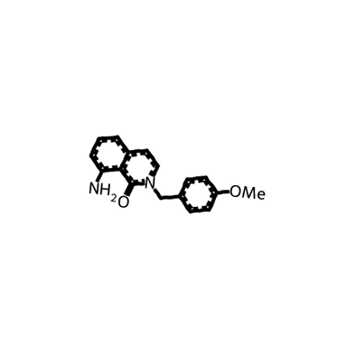 COc1ccc(Cn2ccc3cccc(N)c3c2=O)cc1